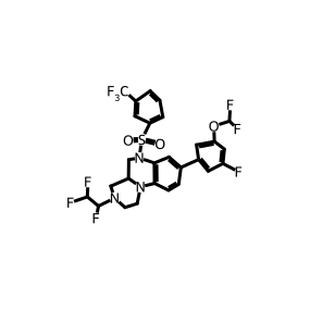 O=S(=O)(c1cccc(C(F)(F)F)c1)N1CC2CN(C(F)C(F)F)CCN2c2ccc(-c3cc(F)cc(OC(F)F)c3)cc21